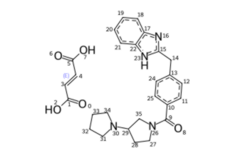 O=C(O)/C=C/C(=O)O.O=C(c1ccc(Cc2nc3ccccc3[nH]2)cc1)N1CCC(N2CCCC2)C1